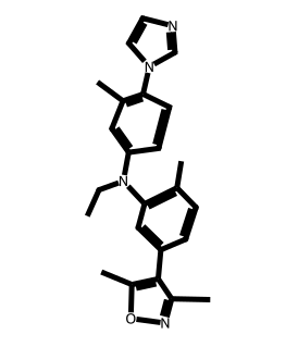 CCN(c1ccc(-n2ccnc2)c(C)c1)c1cc(-c2c(C)noc2C)ccc1C